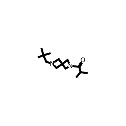 CC(C)C(=O)N1CC2(CN(CC(C)(C)C)C2)C1